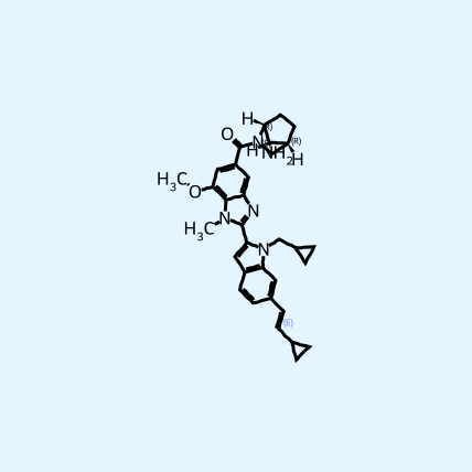 COc1cc(C(=O)N2C[C@H]3CC[C@@H]2[C@H]3N)cc2nc(-c3cc4ccc(/C=C/C5CC5)cc4n3CC3CC3)n(C)c12